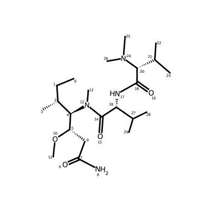 CC[C@@H](C)[C@H]([C@H](CC(N)=O)OC)N(C)C(=O)[C@H](NC(=O)[C@@H](C(C)C)N(C)C)C(C)C